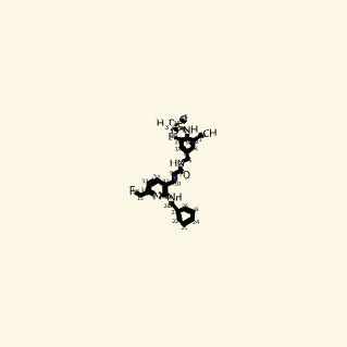 C#Cc1cc(CNC(=O)/C=C/c2ccc(CF)nc2NCc2ccccc2)cc(F)c1NS(C)(=O)=O